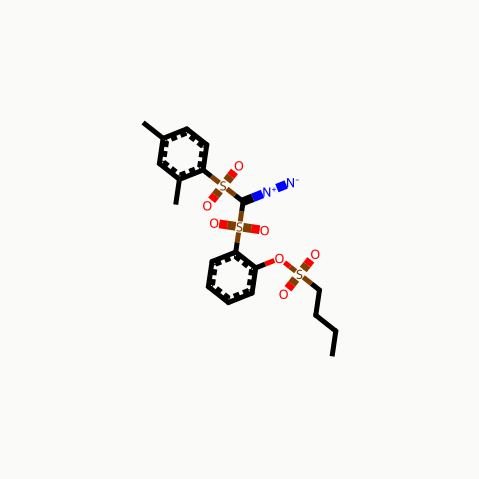 CCCCS(=O)(=O)Oc1ccccc1S(=O)(=O)C(=[N+]=[N-])S(=O)(=O)c1ccc(C)cc1C